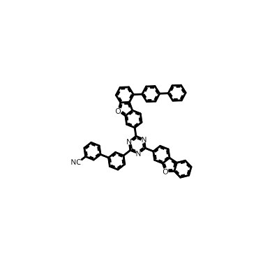 N#Cc1cccc(-c2cccc(-c3nc(-c4ccc5c(c4)oc4ccccc45)nc(-c4ccc5c(c4)oc4cccc(-c6ccc(-c7ccccc7)cc6)c45)n3)c2)c1